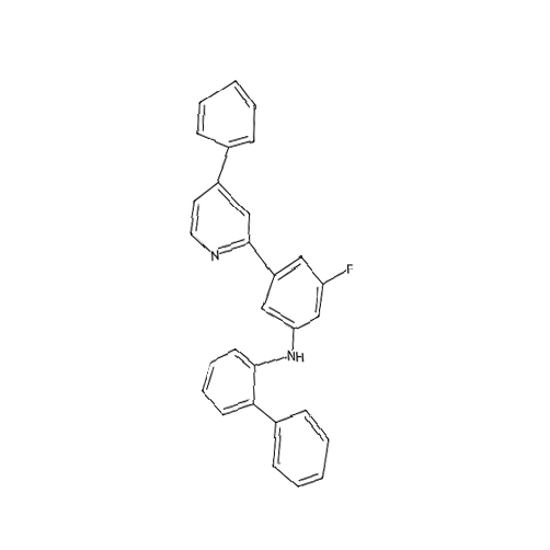 Fc1cc(Nc2ccccc2-c2ccccc2)cc(-c2cc(-c3ccccc3)ccn2)c1